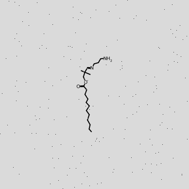 CCCCCCCCCCCC(=O)OCC(C)(C)C=NCCCN